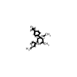 CCO[C@]1(c2ccc(C(F)(F)F)cc2)C[C@@H](c2cn(C)nn2)N[C@@H](C)C1